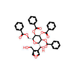 O=C(OC[C@H]1O[C@@H](C(O)c2cocc2CO)[C@H](OC(=O)c2ccccc2)[C@@H](OC(=O)c2ccccc2)[C@@H]1OC(=O)c1ccccc1)c1ccccc1